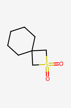 O=S1(=O)CC2(CCCCC2)C1